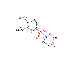 CSc1ccc(S(=O)(=O)N2CCOCC2)cc1SC